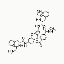 CNC(=O)c1ccc2c(c1)C1(OC2=O)c2ccc(NC(=O)C(Cc3ccccc3)NC(=O)CN)cc2Oc2cc(NC(=O)C(Cc3ccccc3)NC(=O)CN)ccc21